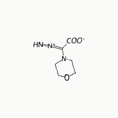 N=[N+]=C(C(=O)[O-])N1CCOCC1